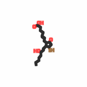 CCCCCC(O)C=CC1C(S)CC(=O)C1CC=CCCCC(=O)O